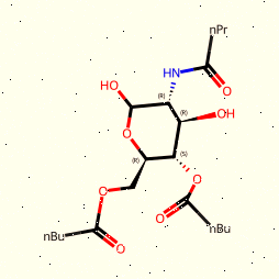 CCCCC(=O)OC[C@H]1OC(O)[C@H](NC(=O)CCC)[C@@H](O)[C@@H]1OC(=O)CCCC